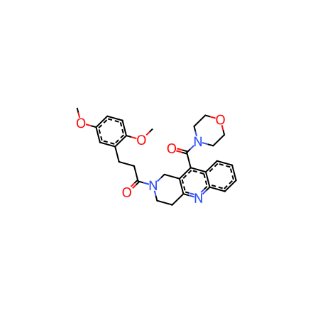 COc1ccc(OC)c(CCC(=O)N2CCc3nc4ccccc4c(C(=O)N4CCOCC4)c3C2)c1